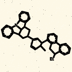 CCC1Cc2c(cccc2C2C=C(C3CC4c5ccccc5N5c6ccccc6C(C3)C45)C=CC2C)-c2ccccc21